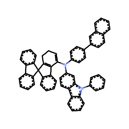 C1=C(N(c2ccc(-c3ccc4ccccc4c3)cc2)c2ccc3c4ccccc4n(-c4ccccc4)c3c2)C2=C(CC1)C1(c3ccccc32)c2ccccc2-c2ccccc21